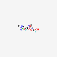 CCOc1ccn(-c2ccc(F)c(O)c2)c(=O)c1C(=O)Nc1ccc(Oc2ccnc(Nc3ccccc3)c2Cl)c(F)c1